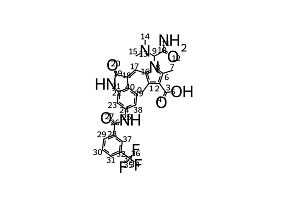 Cc1c(C(=O)O)c(C)n(C(C(N)=O)N(C)C)c1C=C1C(=O)Nc2cc(NC(=O)c3cccc(C(F)(F)F)c3)ccc21